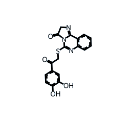 O=C(CSC1=Nc2ccccc2C2=NCC(=O)N12)c1ccc(O)c(O)c1